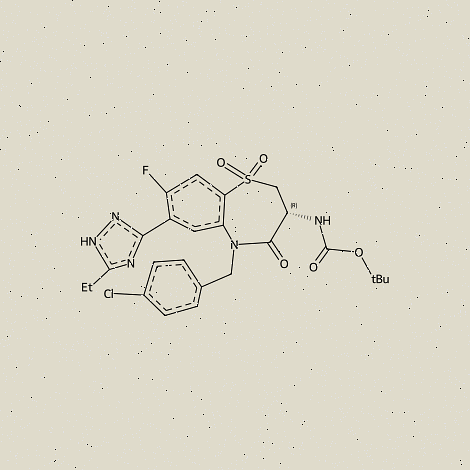 CCc1nc(-c2cc3c(cc2F)S(=O)(=O)C[C@H](NC(=O)OC(C)(C)C)C(=O)N3Cc2ccc(Cl)cc2)n[nH]1